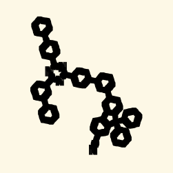 N#Cc1ccc2c(c1)C(c1ccccc1)(c1ccccc1)c1ccc(-c3cccc(-c4ccc(-c5nc(-c6ccc(-c7ccccc7)cc6)nc(-c6cccc(-c7ccccc7)c6)n5)cc4)c3)cc1-2